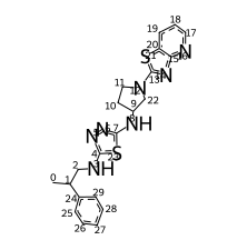 CC(CNc1nnc(NC2CCN(c3nc4ncccc4s3)C2)s1)c1ccccc1